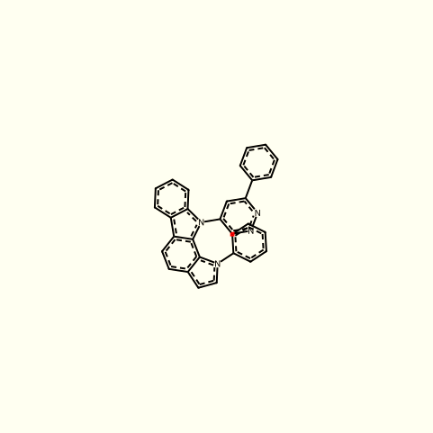 c1ccc(-c2cc(-n3c4ccccc4c4ccc5ccn(-c6ccccc6)c5c43)cnn2)cc1